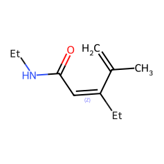 C=C(C)/C(=C\C(=O)NCC)CC